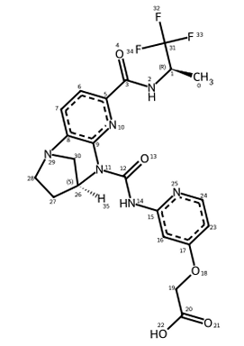 C[C@@H](NC(=O)c1ccc2c(n1)N(C(=O)Nc1cc(OCC(=O)O)ccn1)[C@H]1CCN2C1)C(F)(F)F